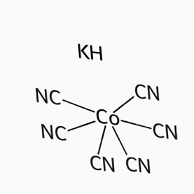 N#[C][Co]([C]#N)([C]#N)([C]#N)([C]#N)[C]#N.[KH]